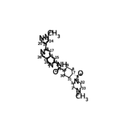 CN1CCN(C(=O)[C@H]2CC[C@H](C(=O)Nc3cc4cc(-c5cnn(C)c5)ncc4cn3)CC2)CC1